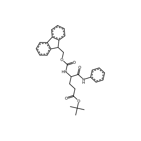 CC(C)(C)OC(=O)CCC(NC(=O)OCC1c2ccccc2-c2ccccc21)C(=O)Nc1ccccc1